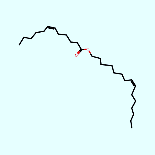 CCCCC/C=C\CCCCC(=O)OCCCCCCC/C=C\CCCCCC